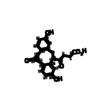 O=C(O)CCC(=O)N1Cc2cc(O)ccc2-c2c(c2=O)-c2ccc(O)cc21